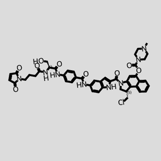 CN1CCN(C(=O)Oc2cc3c(c4ccccc24)[C@H](CCl)CN3C(=O)c2cc3cc(NC(=O)c4ccc(NC(=O)[C@H](CO)NC(=O)CCCN5C(=O)C=CC5=O)cc4)ccc3[nH]2)CC1